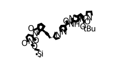 CN1CCC[C@@H]1c1cc2cnc(NC(=O)c3ccc(N4CC[C@H](CC#Cc5cccc6c5CN(C5CCC(=O)N(COCC[Si](C)(C)C)C5=O)C6=O)C4)nc3)cc2n1C(=O)OC(C)(C)C